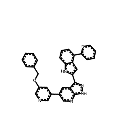 c1ccc(COc2cncc(-c3cnc4[nH]nc(-c5cc6c(-c7ccccn7)cccc6[nH]5)c4c3)c2)cc1